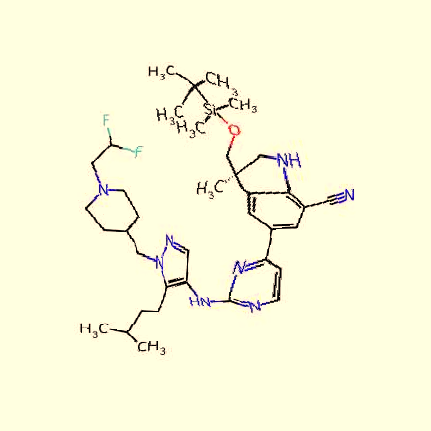 CC(C)CCc1c(Nc2nccc(-c3cc(C#N)c4c(c3)[C@@](C)(CO[Si](C)(C)C(C)(C)C)CN4)n2)cnn1CC1CCN(CC(F)F)CC1